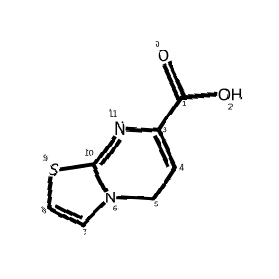 O=C(O)C1=CCN2C=CSC2=N1